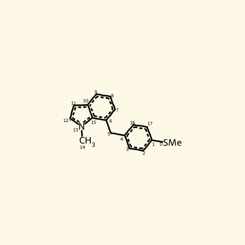 CSc1ccc(Cc2cccc3c[c]n(C)c23)cc1